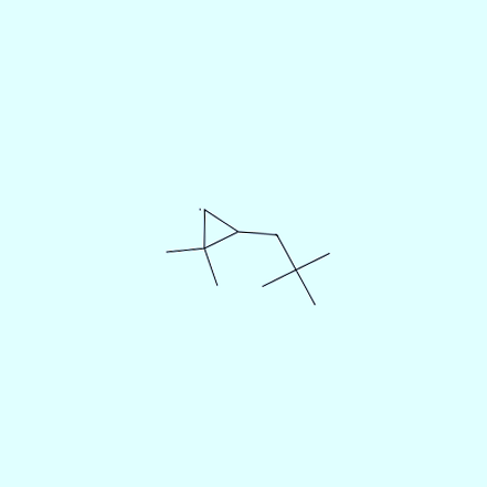 CC(C)(C)CC1[CH]C1(C)C